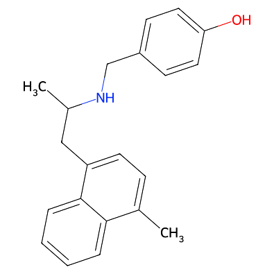 Cc1ccc(CC(C)NCc2ccc(O)cc2)c2ccccc12